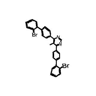 Cc1c(-c2ccc(-c3ccccc3Br)cc2)ncnc1-c1ccc(-c2ccccc2Br)cc1